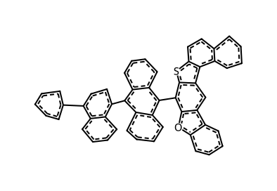 c1ccc(-c2ccc(-c3c4ccccc4c(-c4c5oc6ccccc6c5cc5c4sc4ccc6ccccc6c45)c4ccccc34)c3ccccc23)cc1